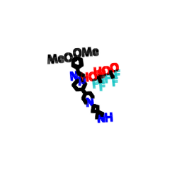 COc1ccc(-c2cn3c(n2)CCC(C2CCN(C4CC5(CNC5)C4)CC2)C3)cc1OC.O=C(O)C(F)(F)F.O=C(O)C(F)(F)F